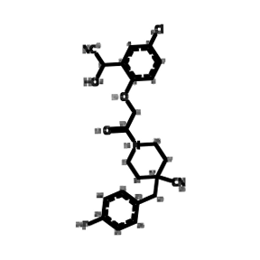 N#CC(O)c1cc(Cl)ccc1OCC(=O)N1CCC(C#N)(Cc2ccc(F)cc2)CC1